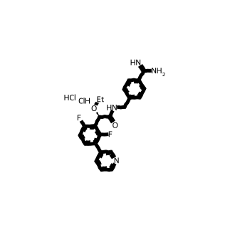 CCO[C@H](C(=O)NCc1ccc(C(=N)N)cc1)c1c(F)ccc(-c2cccnc2)c1F.Cl.Cl